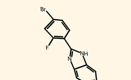 Fc1cc(Br)ccc1-c1nc2ccccc2[nH]1